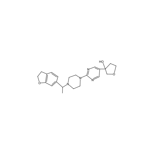 CC(c1ccc2c(c1)OCC2)N1CCN(c2ncc(C3(O)CCOC3)cn2)CC1